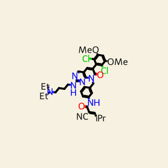 CCN(CC)CCCCNc1ncc2cc(-c3c(Cl)c(OC)cc(OC)c3Cl)c(=O)n(Cc3cccc(NC(=O)C(C#N)=CC(C)C)c3)c2n1